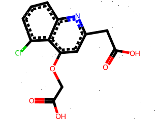 O=C(O)COc1cc(CC(=O)O)nc2cccc(Cl)c12